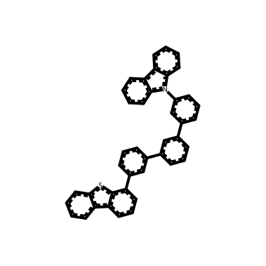 c1cc(-c2cccc(-c3cccc4c3sc3ccccc34)c2)cc(-c2cccc(-n3c4ccccc4c4ccccc43)c2)c1